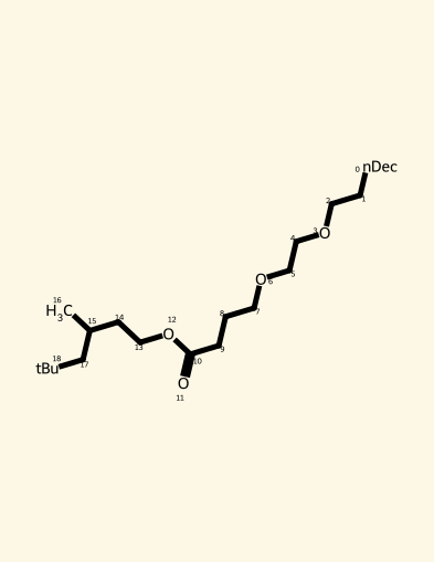 CCCCCCCCCCCCOCCOCCCC(=O)OCCC(C)CC(C)(C)C